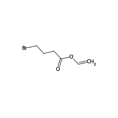 C=COC(=O)CCCBr